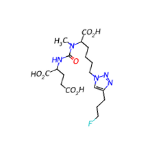 CN(C(=O)NC(CCC(=O)O)C(=O)O)C(CCCCn1cc(CCCF)nn1)C(=O)O